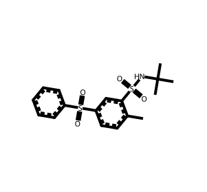 Cc1ccc(S(=O)(=O)c2ccccc2)cc1S(=O)(=O)NC(C)(C)C